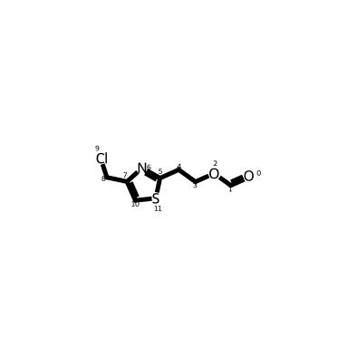 O=COCCc1nc(CCl)cs1